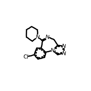 Clc1ccc2c(c1)C(N1CCCCC1)=NCc1nncn1-2